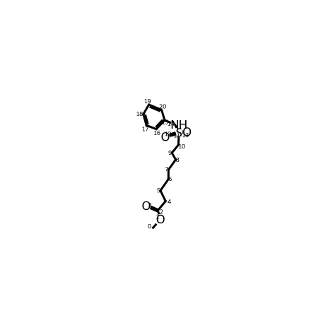 COC(=O)CCCCCCCS(=O)(=O)Nc1ccccc1